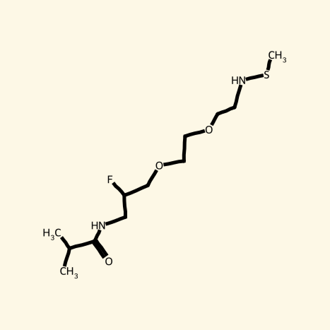 CSNCCOCCOCC(F)CNC(=O)C(C)C